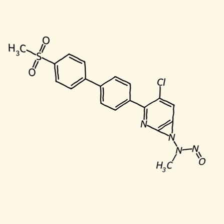 CN(N=O)N1c2cc(Cl)c(-c3ccc(-c4ccc(S(C)(=O)=O)cc4)cc3)nc21